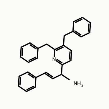 CC(C=Cc1ccccc1)c1ccc(Cc2ccccc2)c(Cc2ccccc2)n1.N